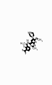 COc1nc2nc(C)nc(N[C@H](C)c3cccc(C(F)F)c3F)c2cc1N1CCNCC1